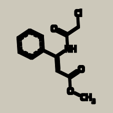 COC(=O)C=C(NC(=O)CCl)c1ccccc1